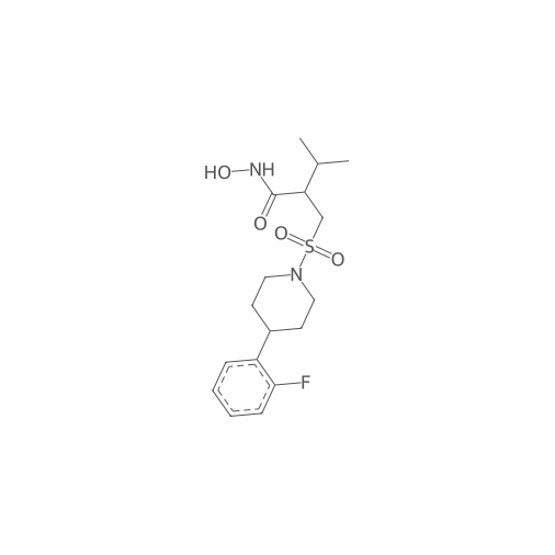 CC(C)C(CS(=O)(=O)N1CCC(c2ccccc2F)CC1)C(=O)NO